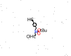 C#Cc1ccc(CCN(CCC=O)C(=O)OC(C)(C)C)cc1